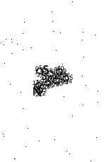 c1ccc2c(c1)Sc1cccc(-c3cc(-c4cccc5ncccc45)ccc3-c3ccc4c5ccccc5c5ccccc5c4c3)c1S2